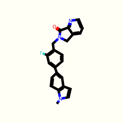 Cn1ccc2cc(-c3ccc(CN4Cc5cccnc5C4=O)c(F)c3)ccc21